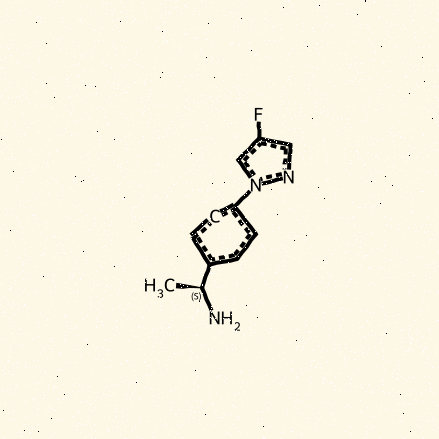 C[C@H](N)c1ccc(-n2cc(F)cn2)cc1